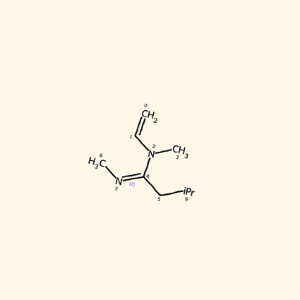 C=CN(C)/C(CC(C)C)=N\C